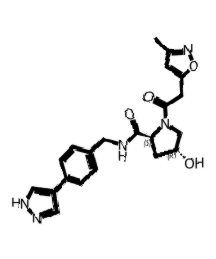 Cc1cc(CC(=O)N2C[C@H](O)C[C@H]2C(=O)NCc2ccc(-c3cn[nH]c3)cc2)on1